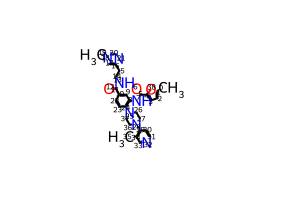 Cc1ccc(C(=O)Nc2cc(C(=O)NCCc3cn(C)cn3)ccc2N2CCN(c3ccncc3C)CC2)o1